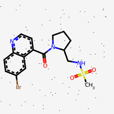 CS(=O)(=O)NCC1CCCN1C(=O)c1ccnc2ccc(Br)cc12